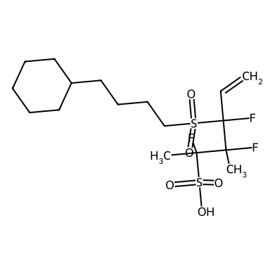 C=CC(F)(C(C)(F)C(C)(F)S(=O)(=O)O)S(=O)(=O)CCCCC1CCCCC1